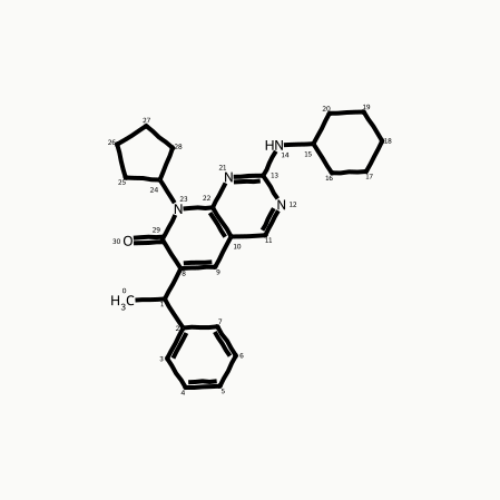 CC(c1ccccc1)c1cc2cnc(NC3CCCCC3)nc2n(C2CCCC2)c1=O